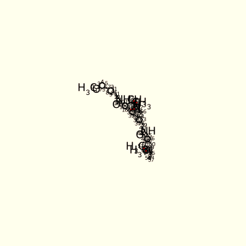 COc1cccc(-c2ccc(CCNC(=O)c3ccc4c(c3)[C@]3(C)CCN(CC5(c6ccccc6-c6ccc(CCNC(=O)c7ccc8c(c7)[C@]7(C)CCN(CC9CC9)C(C8)[C@@H]7C)cc6)CC5)[C@H](C4)[C@@H]3C)cc2)c1